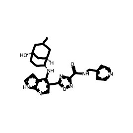 CC1C[C@@H]2C[C@@](O)(CC[C@H]2Nc2c(-c3nc(C(=O)NCc4ccncc4)no3)cnc3[nH]ccc23)C1